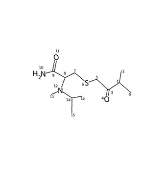 CC(C)C(=O)CSCC(C(N)=O)N(C)C(C)C